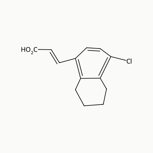 O=C(O)/C=C/c1ccc(Cl)c2c1CCCC2